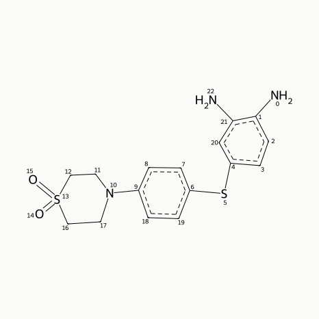 Nc1ccc(Sc2ccc(N3CCS(=O)(=O)CC3)cc2)cc1N